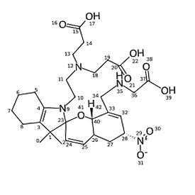 CC1(C)C2=C(CCCC2)N(CCN(CCC(=O)O)CCC(=O)O)C12C=CC1C[C@@H]([N+](=O)[O-])C=C(CNCC(=O)O)[C@H]1O2